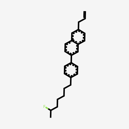 C=CCc1ccc2cc(-c3ccc(CCCCCC(C)F)cc3)ccc2c1